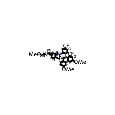 C/N=C(/c1cc(C(F)(F)F)cc(C(F)(F)F)c1)N(Cc1ccc(C(=O)NCCOC)cc1)/C(=C/c1ccc(OC)cc1)C1=CC=C(OC)CC1